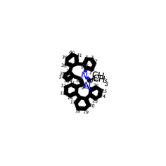 Cc1cccc2c1N1C(=C3c4ccccc4-c4ccccc4-c4ccccc4N3[C@@H]1C)c1ccccc1-c1ccccc1-2